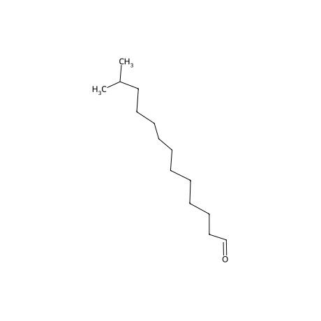 CC(C)CCCCCCCCCCC=O